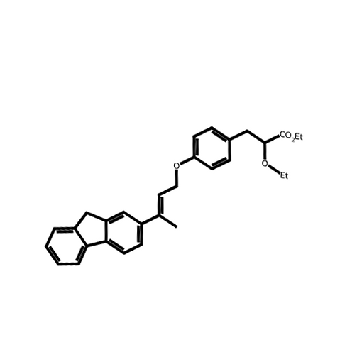 CCOC(=O)C(Cc1ccc(OCC=C(C)c2ccc3c(c2)Cc2ccccc2-3)cc1)OCC